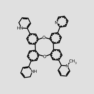 CN1C=CC=CC1c1ccc2c(c1)Oc1cc(C3=CC=CCN3)ccc1-c1ccc(C3=CC=CCN3)cc1Oc1cc(-c3ccccn3)ccc1-2